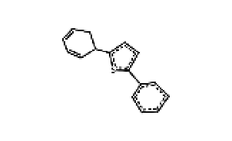 C1=CCC(c2ccc(-c3ccccc3)s2)C=C1